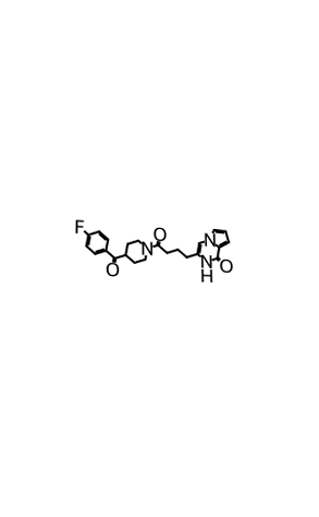 O=C(c1ccc(F)cc1)C1CCN(C(=O)CCCc2cn3cccc3c(=O)[nH]2)CC1